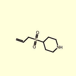 C=CCS(=O)(=O)C1CCNCC1